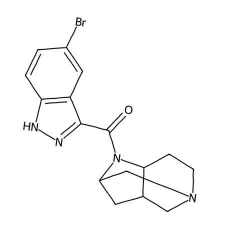 O=C(c1n[nH]c2ccc(Br)cc12)N1C2CC3CN(CCC31)C2